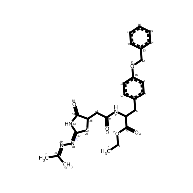 CCOC(=O)C(Cc1ccc(OCc2ccccc2)cc1)NC(=O)CC1S/C(=N/N=C(C)C)NC1=O